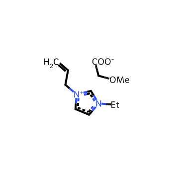 C=CC[n+]1ccn(CC)c1.COCC(=O)[O-]